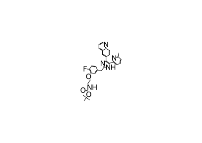 Cc1cccc(-c2[nH]c(Cc3ccc(F)c(OCCNC(=O)OC(C)(C)C)c3)nc2-c2ccc3ncccc3c2)n1